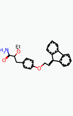 CCOC(Cc1ccc(OCC=C2c3ccccc3-c3ccccc32)cc1)C(N)=O